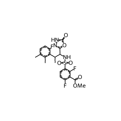 COC(=O)c1c(F)ccc(S(=O)(=O)NC(c2n[nH]c(=O)o2)C(C)c2c(F)ccc(C)c2C)c1F